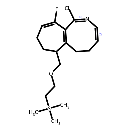 CS(C)(C)CCOCC1CCC=C(F)C2=C1CC/C=C\N=C/2Cl